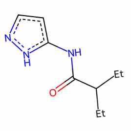 CCC(CC)C(=O)Nc1ccn[nH]1